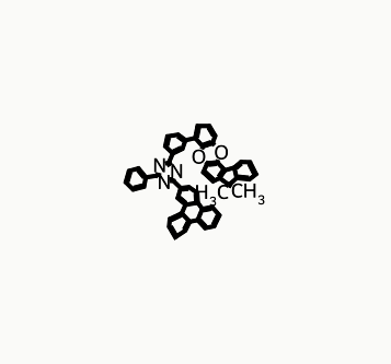 CC1(C)c2ccccc2-c2c1ccc1c2Oc2cccc(-c3cccc(-c4nc(-c5ccccc5)nc(-c5ccc6c7ccccc7c7ccccc7c6c5)n4)c3)c2O1